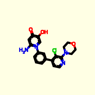 Nc1cc(=O)c(O)cn1-c1cccc(-c2ccnc(N3CCOCC3)c2Cl)c1